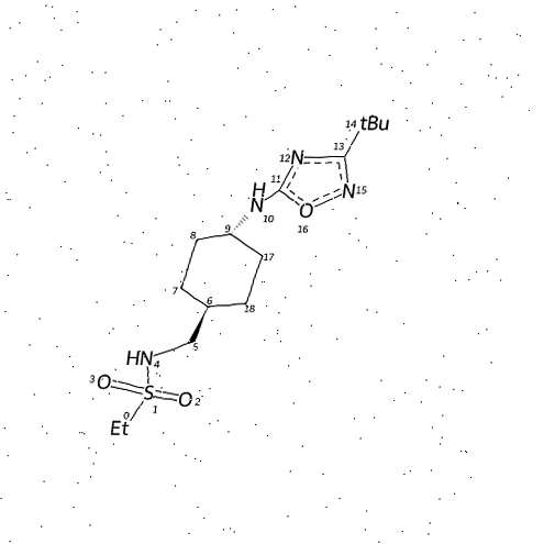 CCS(=O)(=O)NC[C@H]1CC[C@H](Nc2nc(C(C)(C)C)no2)CC1